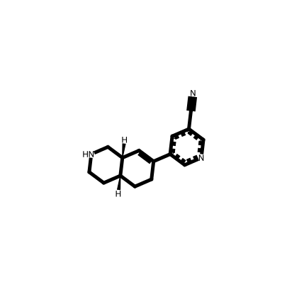 N#Cc1cncc(C2=C[C@H]3CNCC[C@H]3CC2)c1